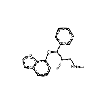 CNC[C@H](F)[C@@H](Oc1cccc2ccoc12)c1ccccc1